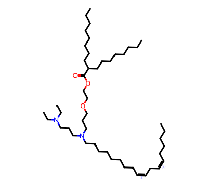 CCCCC/C=C\C/C=C\CCCCCCCCN(CCCOCCOC(=O)C(CCCCCCCC)CCCCCCCC)CCCN(CC)CC